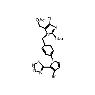 CCCCc1nc(Cl)c(COC(C)=O)n1Cc1ccc(-n2ccc(Br)c2-c2nnn[nH]2)cc1